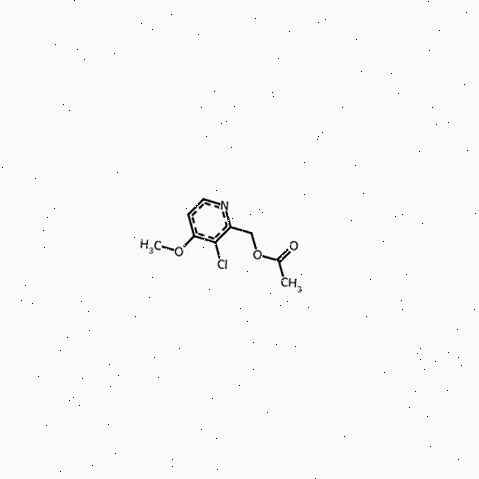 COc1ccnc(COC(C)=O)c1Cl